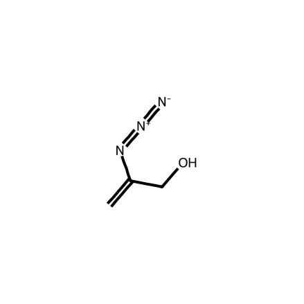 C=C(CO)N=[N+]=[N-]